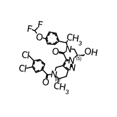 CC(c1ccc(OC(F)F)cc1)N1C[C@@H](CO)n2nc3c(c2C1=O)CN(C(=O)c1ccc(Cl)c(Cl)c1)[C@H](C)C3